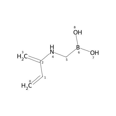 C=CC(=C)NCB(O)O